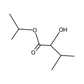 CC(C)OC(=O)C(O)C(C)C